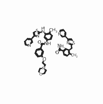 Cc1ccc(C(N)=O)cc1Cc1nc(-c2cccnc2)cs1.Cc1ccc(NC(=O)c2cccc(OCCN3CCOCC3)c2)cc1Nc1nc(-c2cccnc2)cs1